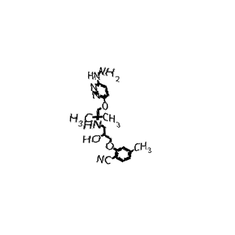 Cc1ccc(C#N)c(OCC(O)CNC(C)(C)COc2ccc(NN)nn2)c1